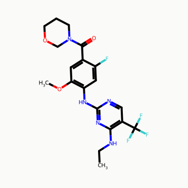 CCNc1nc(Nc2cc(F)c(C(=O)N3CCCOC3)cc2OC)ncc1C(F)(F)F